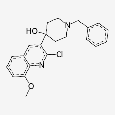 COc1cccc2cc(C3(O)CCN(Cc4ccccc4)CC3)c(Cl)nc12